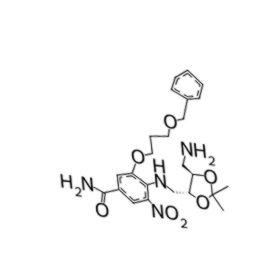 CC1(C)O[C@H](CN)[C@@H](CNc2c(OCCCOCc3ccccc3)cc(C(N)=O)cc2[N+](=O)[O-])O1